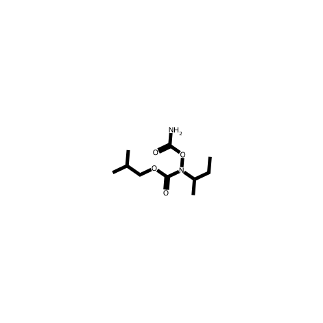 CCC(C)N(OC(N)=O)C(=O)OCC(C)C